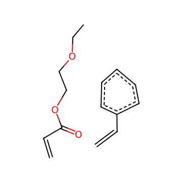 C=CC(=O)OCCOCC.C=Cc1ccccc1